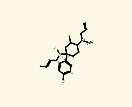 C=CCN(CCC)C1CCC(c2ccc(Cl)cc2)(N(CC=CC)CCC)CC1C